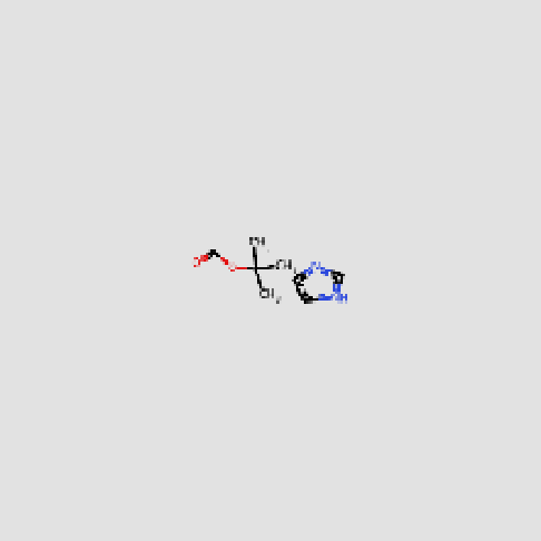 CC(C)(C)OC=O.c1c[nH]cn1